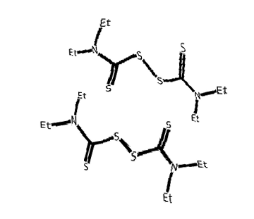 CCN(CC)C(=S)SSC(=S)N(CC)CC.CCN(CC)C(=S)SSC(=S)N(CC)CC